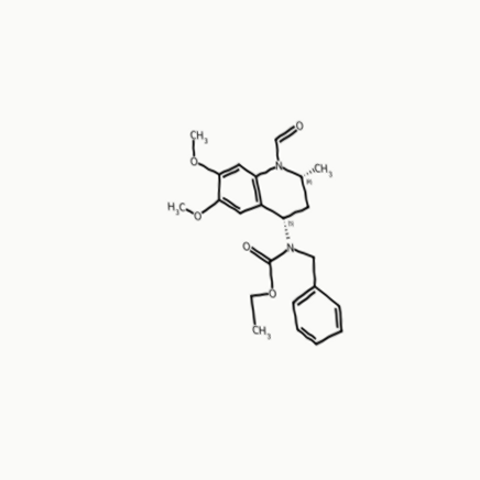 CCOC(=O)N(Cc1ccccc1)[C@H]1C[C@@H](C)N(C=O)c2cc(OC)c(OC)cc21